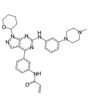 C=CC(=O)Nc1cccc(-c2nc(Nc3cccc(N4CCN(C)CC4)c3)nc3c2cnn3C2CCCCO2)c1